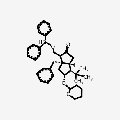 CC(C)(C)[C@@H]1[C@H]2CC(=O)C(CO[SiH](c3ccccc3)c3ccccc3)[C@]2(Cc2ccccc2)C[C@H]1OC1CCCCO1